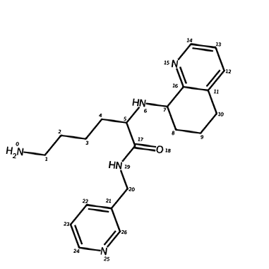 NCCCCC(NC1CCCc2cccnc21)C(=O)NCc1cccnc1